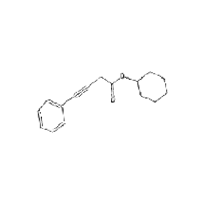 O=C(CC#Cc1ccccc1)OC1CCCCC1